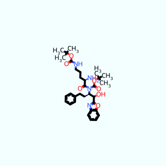 CC(C)(C)OC(=O)NCCC[C@@H](N)C(=O)N(C(=O)OC(C)(C)C)[C@H](CCc1ccccc1)C(O)c1nc2ccccc2o1